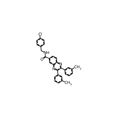 Cc1cccc(-c2nc3ccc(C(=O)NCc4ccc(Cl)cc4)cc3nc2-c2cccc(C)c2)c1